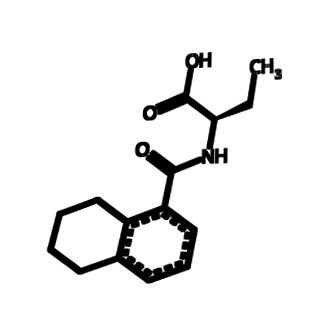 CC[C@@H](NC(=O)c1cccc2c1CCCC2)C(=O)O